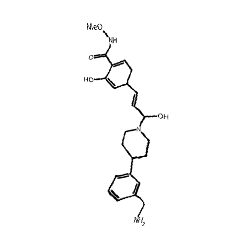 CONC(=O)C1=CCC(/C=C/C(O)N2CCC(c3cccc(CN)c3)CC2)C=C1O